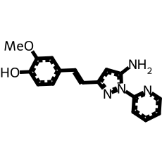 COc1cc(C=Cc2cc(N)n(-c3ccccn3)n2)ccc1O